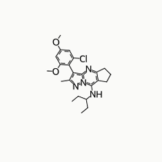 CCC(CC)Nc1c2c(nc3c(-c4c(Cl)cc(OC)cc4OC)c(C)nn13)CCC2